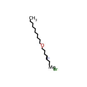 CCCCCCCCCCOCCC/C=C/C[CH2][Mg][Br]